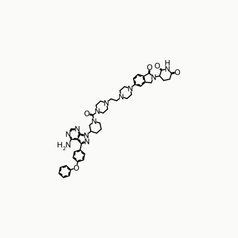 Nc1ncnc2c1c(-c1ccc(Oc3ccccc3)cc1)nn2C1CCCN(C(=O)N2CCN(CCN3CCN(c4ccc5c(c4)CN(C4CCC(=O)NC4=O)C5=O)CC3)CC2)C1